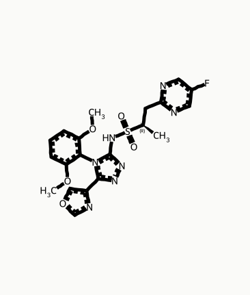 COc1cccc(OC)c1-n1c(NS(=O)(=O)[C@H](C)Cc2ncc(F)cn2)nnc1-c1cocn1